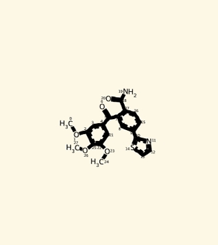 COc1cc(C(=O)c2cc(-c3nccs3)ccc2C(N)=O)cc(OC)c1OC